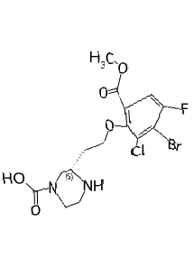 COC(=O)c1cc(F)c(Br)c(Cl)c1OCC[C@H]1CN(C(=O)O)CCN1